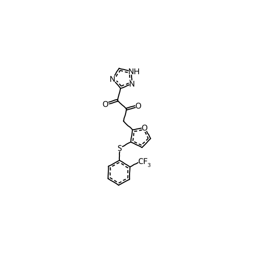 O=C(Cc1occc1Sc1ccccc1C(F)(F)F)C(=O)c1nc[nH]n1